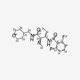 C/C=C(NC(=O)c1c(F)cccc1F)\C(=N/C)C(=O)NCC1CCOCC1